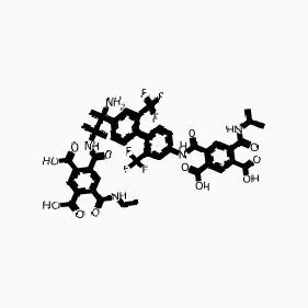 CCNC(=O)c1cc(C(=O)NC(C)(C)C(C)(N)c2ccc(-c3ccc(NC(=O)c4cc(C(=O)NC(C)C)c(C(=O)O)cc4C(=O)O)cc3C(F)(F)F)c(C(F)(F)F)c2)c(C(=O)O)cc1C(=O)O